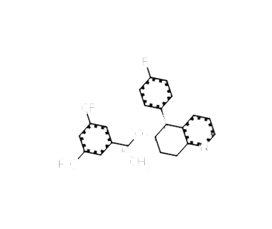 C[C@@H](O[C@H]1CCc2ncccc2[C@@H]1c1ccc(F)cc1)c1cc(C(F)(F)F)cc(C(F)(F)F)c1